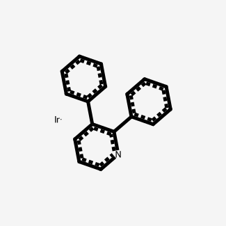 [Ir].c1ccc(-c2cccnc2-c2ccccc2)cc1